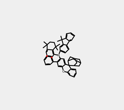 CC1(C)CCC(C)(C)c2c(N(c3ccc4c(c3)C(C)(C)c3ccccc3-4)c3cc4c(cc3-c3ccccc3)Oc3ccccc3C43C4CC5CC(C4)CC3C5)cccc21